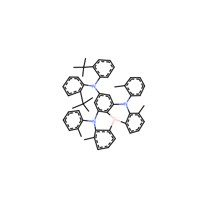 Cc1ccccc1N1c2cc(N(c3ccccc3C(C)(C)C)c3ccccc3C(C)(C)C)cc3c2B(c2cccc(C)c21)c1cccc(C)c1N3c1ccccc1C